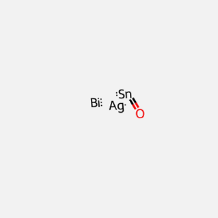 [Ag].[Bi].[O]=[Sn]